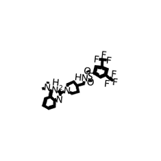 C=C(/N=C1/C=CC=C/C1=C(/N)N(C)C)N1CCC(CNS(=O)(=O)c2cc(C(F)(F)F)cc(C(F)(F)F)c2)CC1